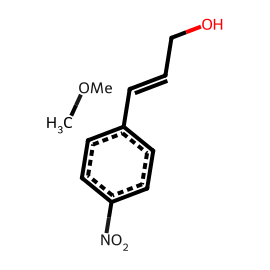 COC.O=[N+]([O-])c1ccc(C=CCO)cc1